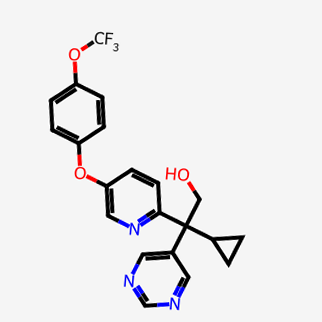 OCC(c1cncnc1)(c1ccc(Oc2ccc(OC(F)(F)F)cc2)cn1)C1CC1